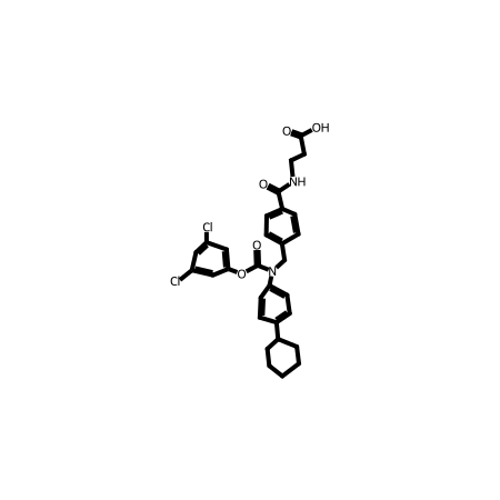 O=C(O)CCNC(=O)c1ccc(CN(C(=O)Oc2cc(Cl)cc(Cl)c2)c2ccc(C3CCCCC3)cc2)cc1